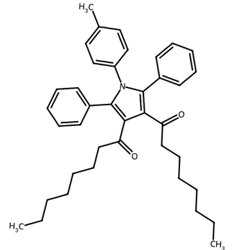 CCCCCCCC(=O)c1c(C(=O)CCCCCCC)c(-c2ccccc2)n(-c2ccc(C)cc2)c1-c1ccccc1